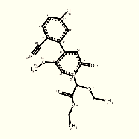 CCOC(=O)C(OCC)n1cc(OC)c(-c2cc(Cl)ccc2C#N)cc1=O